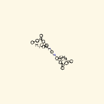 CC1(C)c2cc(/C=C/c3ccc(/C=C/c4ccc5c(c4)C(C)(C)c4cc(N(c6ccccc6)c6ccc(-c7ccccc7)cc6)ccc4-5)cc3)ccc2-c2ccc(N(c3ccccc3)c3ccc(-c4ccccc4)cc3)cc21